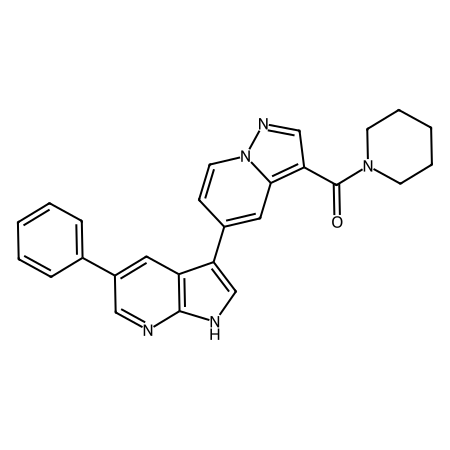 O=C(c1cnn2ccc(-c3c[nH]c4ncc(-c5ccccc5)cc34)cc12)N1CCCCC1